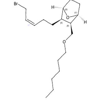 CCCCCCOC[C@H]1[C@@H](CC/C=C\CBr)[C@H]2CC[C@@H]1O2